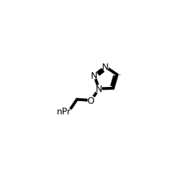 CCCCOn1c[c]nn1